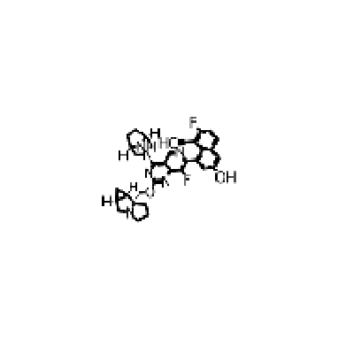 C#Cc1c(F)ccc2cc(O)cc(-c3ncc4c(N5C[C@H]6CC[C@@H](C5)N6)nc(OC[C@]56CCCN5C[C@H]5C[C@H]56)nc4c3F)c12